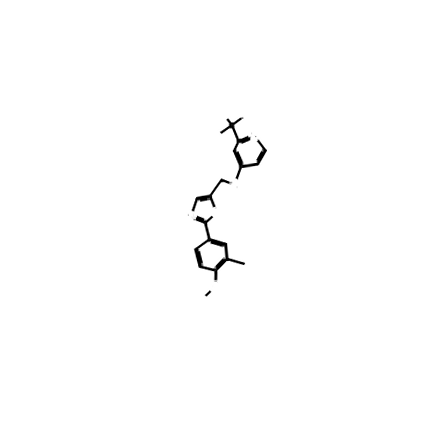 COc1ccc(-c2ncc(CNc3ccnc(C(F)(F)F)c3)s2)cc1C